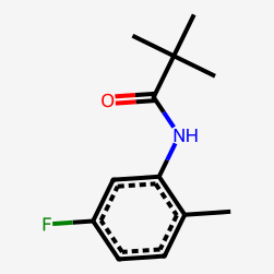 Cc1ccc(F)cc1NC(=O)C(C)(C)C